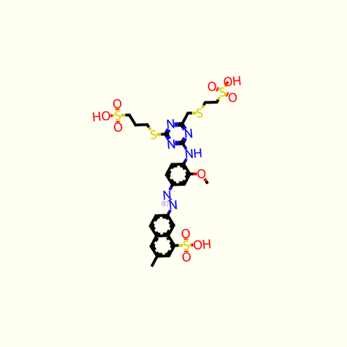 COc1cc(/N=N/c2ccc3cc(C)cc(S(=O)(=O)O)c3c2)ccc1Nc1nc(CSCCS(=O)(=O)O)nc(SCCCS(=O)(=O)O)n1